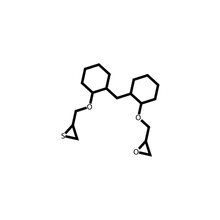 C1CCC(OCC2CO2)C(CC2CCCCC2OCC2CS2)C1